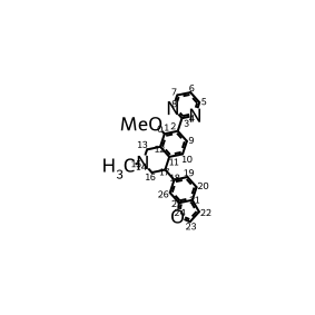 COc1c(-c2ncccn2)ccc2c1CN(C)CC2c1ccc2ccoc2c1